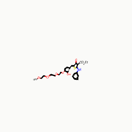 CCCOCCOCCOCCOc1ccc(/C=C2\SC(Nc3ccccc3)=C(C(=O)OCC)C2=O)cc1O